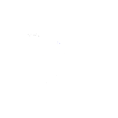 CCOC(=O)c1nc(NC)sc1C(=O)CC